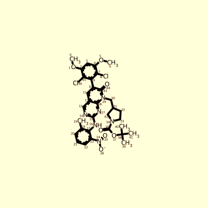 COc1cc(OC)c(Cl)c(-c2cc3cnc(Nc4c(C)cccc4[N+](=O)[O-])nc3n(CC3CCN(C(=O)OC(C)(C)C)C3)c2=O)c1Cl